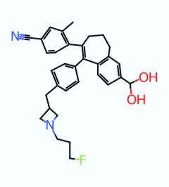 Cc1cc(C#N)ccc1C1=C(c2ccc(CC3CN(CCCF)C3)cc2)c2ccc(C(O)O)cc2CCC1